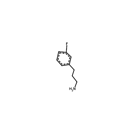 NCCCc1cccc(F)c1